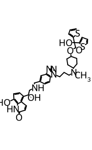 CN(CCCn1nnc2cc(CNC[C@H](O)c3ccc(O)c4[nH]c(=O)ccc34)ccc21)C1CCC(OC(=O)C(O)(c2cccs2)c2cccs2)CC1